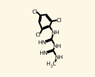 CNC(=N)NC(=N)Nc1c(Cl)cc(Cl)cc1Cl